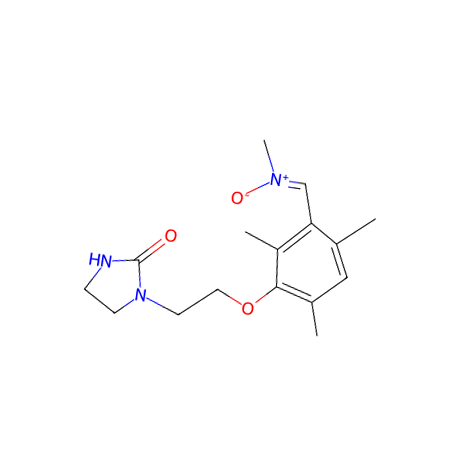 Cc1cc(C)c(OCCN2CCNC2=O)c(C)c1C=[N+](C)[O-]